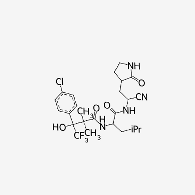 CC(C)CC(NC(=O)C(C)(C)C(O)(c1ccc(Cl)cc1)C(F)(F)F)C(=O)NC(C#N)CC1CCNC1=O